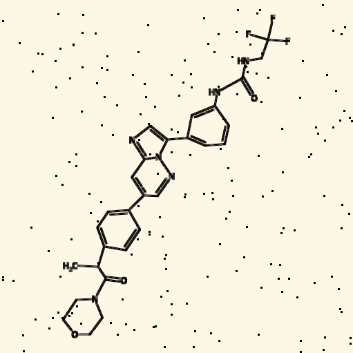 CC(C(=O)N1CCOCC1)c1ccc(-c2cnn3c(-c4cccc(NC(=O)NCC(F)(F)F)c4)cnc3c2)cc1